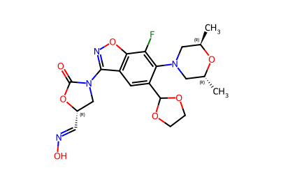 C[C@@H]1CN(c2c(C3OCCO3)cc3c(N4C[C@H](C=NO)OC4=O)noc3c2F)C[C@@H](C)O1